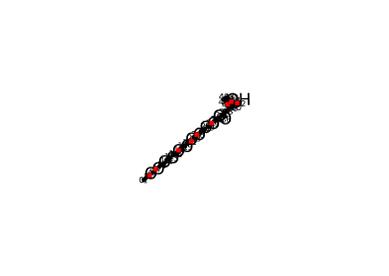 CCCCOCCOCCOCCOCCOCCOCCOCCOCCOCCOCCOC(=O)CCc1cc(C(C)(C)C)c(O)c(C(C)(C)C)c1